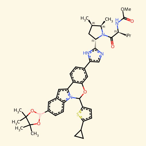 COC(=O)N[C@H](C(=O)N1[C@H](C)[C@H](C)C[C@H]1c1ncc(-c2ccc3c(c2)OC(c2ccc(C4CC4)s2)n2c-3cc3cc(B4OC(C)(C)C(C)(C)O4)ccc32)[nH]1)C(C)C